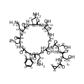 CC(C)C[C@@H]1NC(=O)[C@@H](Cc2ccccc2)NC(=O)[C@H](CCN)NC(=O)[C@@H](NC(=O)[C@@H](CO)NC(=O)[C@@H](NC(=O)C2CC2)[C@@H](C)O)CCNC(=O)[C@H]([C@@H](C)O)NC(=O)[C@H](CCN)NC(=O)[C@H](CCN)NC1=O